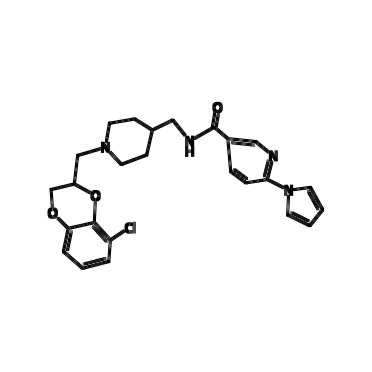 O=C(NCC1CCN(CC2COc3cccc(Cl)c3O2)CC1)c1ccc(-n2cccc2)nc1